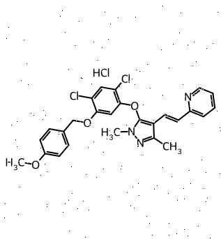 COc1ccc(COc2cc(Oc3c(C=Cc4ccccn4)c(C)nn3C)c(Cl)cc2Cl)cc1.Cl